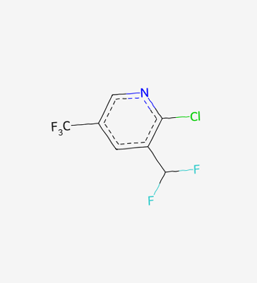 FC(F)c1cc(C(F)(F)F)cnc1Cl